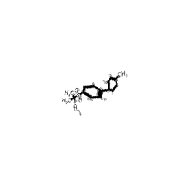 Cc1ccc(-c2ccc(S(=O)(=O)C(C)(C)C)cc2)cc1